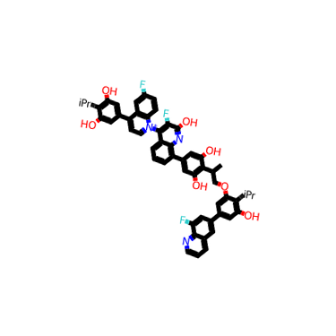 CC(C)c1c(O)cc(-c2cc[n+](-c3c(F)c(O)nc4c(-c5cc(O)c(C(C)COc6cc(-c7cc(F)c8ncccc8c7)cc(O)c6C(C)C)c(O)c5)cccc34)c3ccc(F)cc23)cc1O